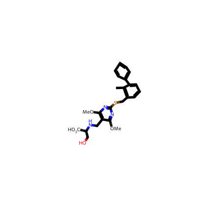 COc1nc(SCc2cccc(-c3ccccc3)c2C)nc(OC)c1CNC(CO)C(=O)O